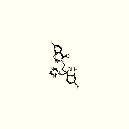 O=c1c2ccc(I)cc2nnn1CCC(O)(Cn1cncn1)c1ccc(F)cc1F